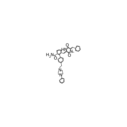 Cn1c(=O)c(=Cc2cccc(C(N)=O)c2-c2ccc(CCN3CCN(c4ccccc4)CC3)cc2)[nH]c(=O)c1=Cc1ccccc1